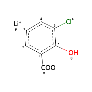 O=C([O-])c1cccc(Cl)c1O.[Li+]